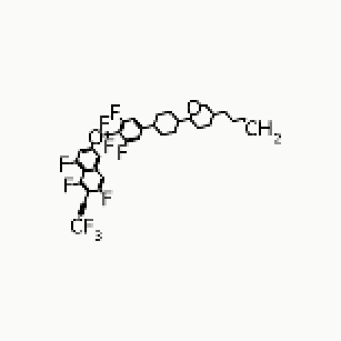 C=CCCC1CCC(C2CCC(c3cc(F)c(C(F)(F)Oc4cc(F)c5c(F)c(C#CC(F)(F)F)c(F)cc5c4)c(F)c3)CC2)OC1